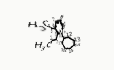 CCCc1c(CC)ccc[n+]1C1CCCCCC1